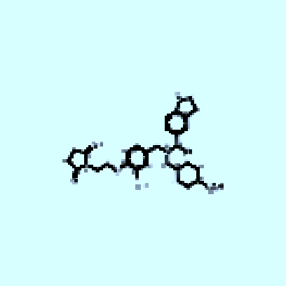 CCC(c1ccc2c(c1)CCO2)N(Cc1ccc(OCCN2C(=O)CCC2=O)c(C)c1)CC1CCC(C(=O)O)CC1